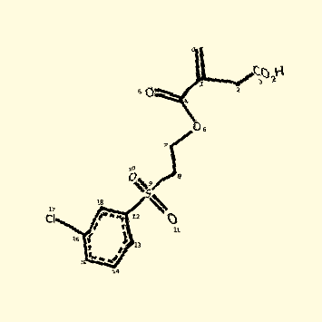 C=C(CC(=O)O)C(=O)OCCS(=O)(=O)c1cccc(Cl)c1